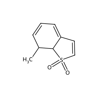 CC1C=CC=C2C=CS(=O)(=O)C21